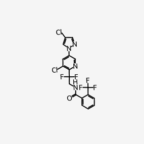 O=C(NCC(F)(F)c1ncc(-n2cc(Cl)cn2)cc1Cl)c1ccccc1C(F)(F)F